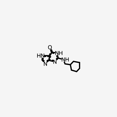 O=c1[nH]c(NCC2CCCCC2)nc2nc[nH]c12